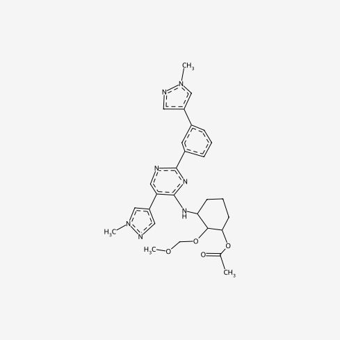 COCOC1C(Nc2nc(-c3cccc(-c4cnn(C)c4)c3)ncc2-c2cnn(C)c2)CCCC1OC(C)=O